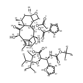 CC(=O)O[C@@]12CO[C@@H]1C[C@H](C)[C@@]1(C)C(=O)[C@H](O)C3=C(C)[C@@H](OC(=O)[C@H](O[Si](C(C)C)(C(C)C)C(C)C)[C@@H](NC(=O)OC(C)(C)C)c4ccco4)C[C@@](O)([C@@H](OC(=O)c4cccs4)[C@H]21)C3(C)C